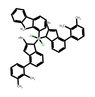 CCCCC1=Cc2c(-c3cccc(C)c3C)cccc2[CH]1[Zr]([Cl])([Cl])([c]1cccc2c1[SiH2]c1ccccc1-2)[CH]1C(CCCC)=Cc2c(-c3cccc(C)c3C)cccc21